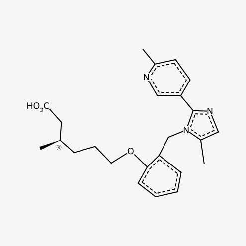 Cc1ccc(-c2ncc(C)n2Cc2ccccc2OCCC[C@@H](C)CC(=O)O)cn1